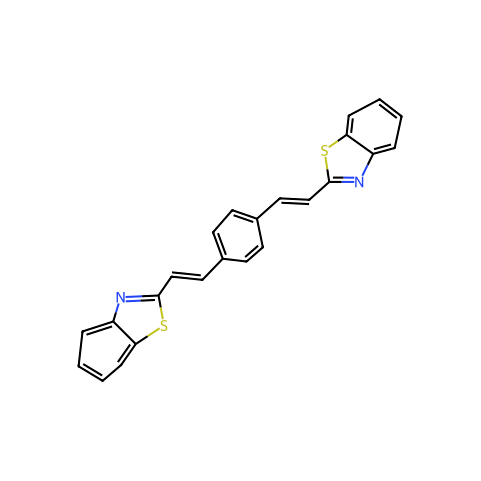 C(=Cc1nc2ccccc2s1)c1ccc(C=Cc2nc3ccccc3s2)cc1